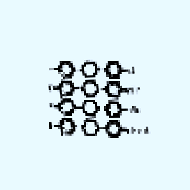 CCCCCc1ccc([C@H]2CC[C@H](c3ccc(F)nc3)CC2)cc1.CCCCc1ccc([C@H]2CC[C@H](c3ccc(F)nc3)CC2)cc1.CCCc1ccc([C@H]2CC[C@H](c3ccc(F)nc3)CC2)cc1.CCc1ccc([C@H]2CC[C@H](c3ccc(F)nc3)CC2)cc1